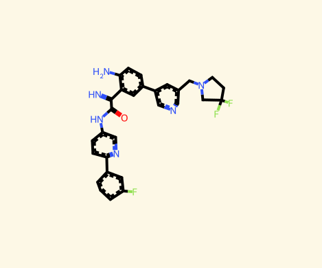 N=C(C(=O)Nc1ccc(-c2cccc(F)c2)nc1)c1cc(-c2cncc(CN3CCC(F)(F)C3)c2)ccc1N